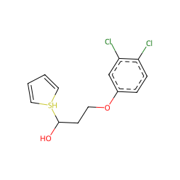 OC(CCOc1ccc(Cl)c(Cl)c1)[SH]1C=CC=C1